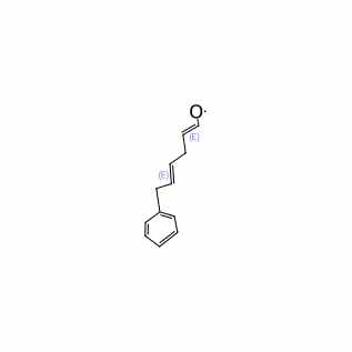 [O]/C=C/C/C=C/Cc1ccccc1